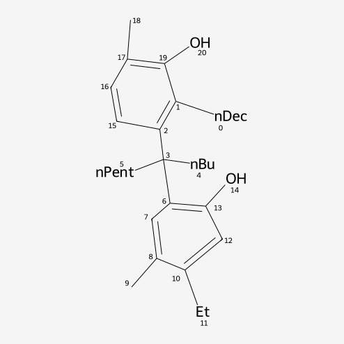 CCCCCCCCCCc1c(C(CCCC)(CCCCC)c2cc(C)c(CC)cc2O)ccc(C)c1O